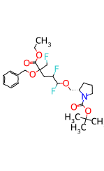 CCOC(=O)C(CF)(CC(F)C(F)OC[C@@H]1CCCN1C(=O)OC(C)(C)C)OCc1ccccc1